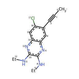 [CH2]C#Cc1cc2nc(NCC)c(NCC)nc2cc1Cl